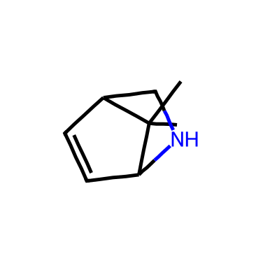 CC1(C)C2C=CC1NC2